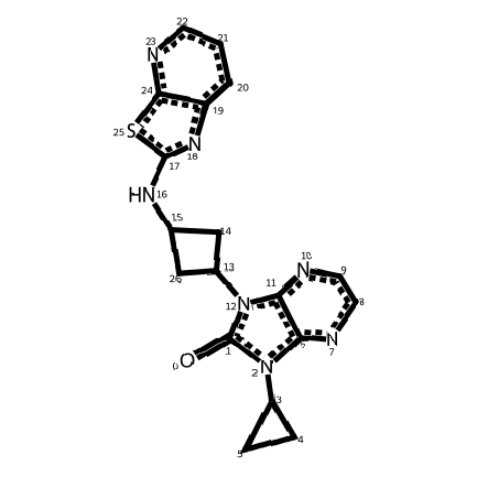 O=c1n(C2CC2)c2nccnc2n1C1CC(Nc2nc3cccnc3s2)C1